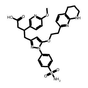 COc1ccc(C(CC(=O)O)Cc2cc(OCCc3ccc4c(n3)NCCC4)n(-c3ccc(S(N)(=O)=O)cc3)n2)cn1